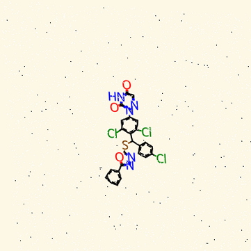 O=c1cnn(-c2cc(Cl)c(C(Sc3nnc(-c4ccccc4)o3)c3ccc(Cl)cc3)c(Cl)c2)c(=O)[nH]1